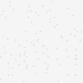 Cc1csc2nc(C3CC3)nc(NCc3ccccc3)c12